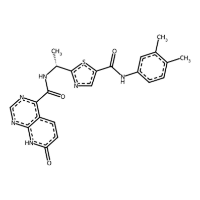 Cc1ccc(NC(=O)c2cnc([C@@H](C)NC(=O)c3ncnc4[nH]c(=O)ccc34)s2)cc1C